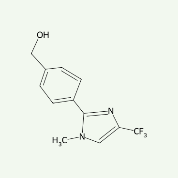 Cn1cc(C(F)(F)F)nc1-c1ccc(CO)cc1